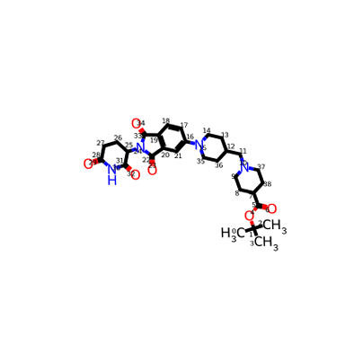 CC(C)(C)OC(=O)C1CCN(CC2CCN(c3ccc4c(c3)C(=O)N(C3CCC(=O)NC3=O)C4=O)CC2)CC1